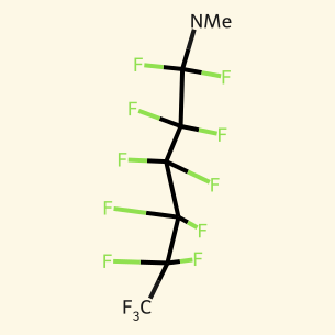 CNC(F)(F)C(F)(F)C(F)(F)C(F)(F)C(F)(F)C(F)(F)F